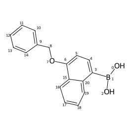 OB(O)c1ccc(OCc2ccccc2)c2ccccc12